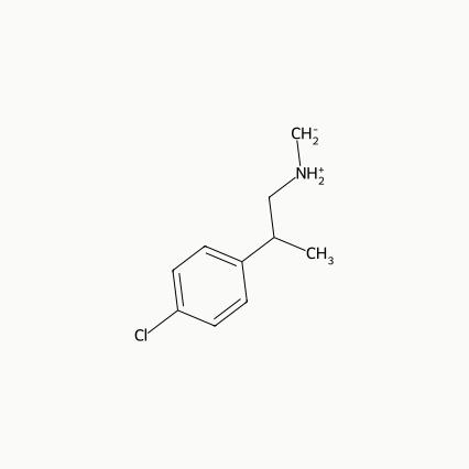 [CH2-][NH2+]CC(C)c1ccc(Cl)cc1